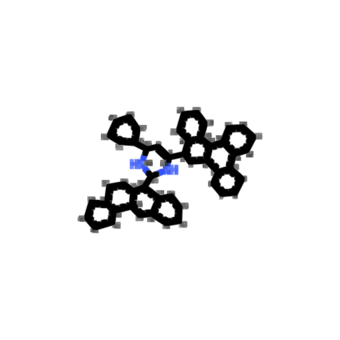 C1=C(c2cc3c4ccccc4c4ccccc4c3c3ccccc23)NC(c2c3ccccc3cc3c2ccc2ccccc23)NC1c1ccccc1